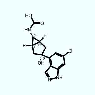 O=C(O)N[C@@H]1[C@@H]2C[C@@](O)(c3cc(Cl)cc4[nH]ncc34)C[C@@H]21